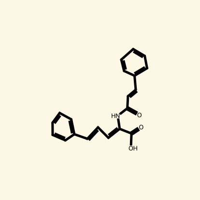 O=C(/C=C/c1ccccc1)N/C(=C\C=C\c1ccccc1)C(=O)O